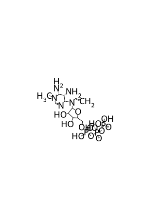 C=CN(C1OC(COP(=O)(O)OP(=O)(O)OP(=O)(O)O)C(O)C1O)C1N=CN(C)[C@H](N)[C@@H]1N